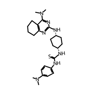 CN(C)c1ccc(NC(=S)N[C@H]2CC[C@@H](Nc3nc4c(c(N(C)C)n3)CCCC4)CC2)cc1